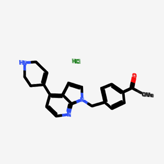 COC(=O)c1ccc(Cn2ccc3c(C4=CCNCC4)ccnc32)cc1.Cl